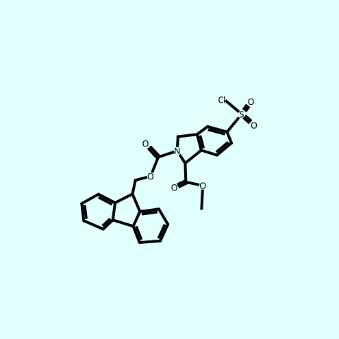 COC(=O)C1c2ccc(S(=O)(=O)Cl)cc2CN1C(=O)OCC1c2ccccc2-c2ccccc21